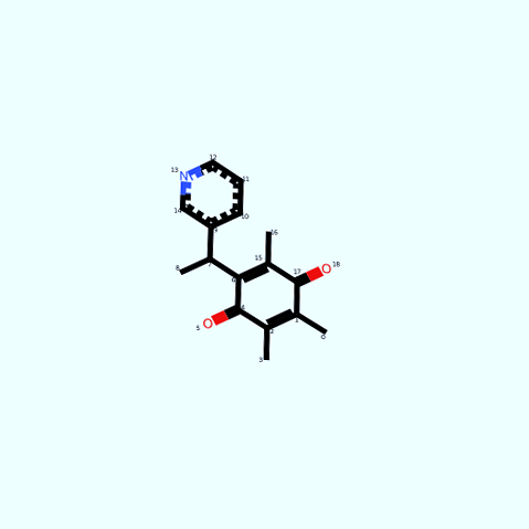 CC1=C(C)C(=O)C(C(C)c2cccnc2)=C(C)C1=O